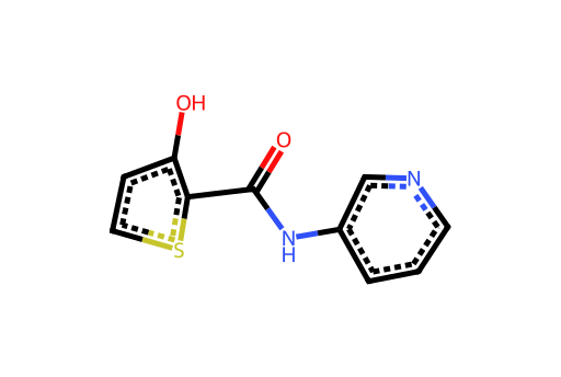 O=C(Nc1cccnc1)c1sccc1O